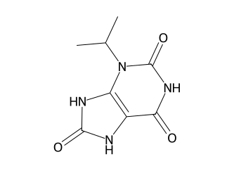 CC(C)n1c(=O)[nH]c(=O)c2[nH]c(=O)[nH]c21